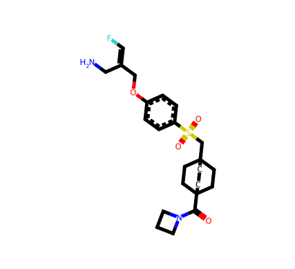 NC/C(=C\F)COc1ccc(S(=O)(=O)CC23CCC(C(=O)N4CCC4)(CC2)CC3)cc1